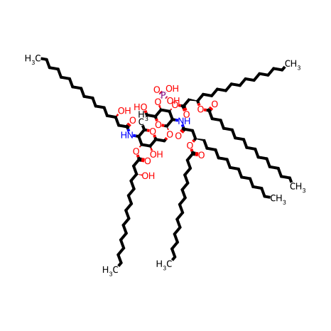 CCCCCCCCCCCCCCCC(=O)O[C@H](CCCCCCCCCCCCC)CC(=O)NC1[C@H](OCC2OC(C)C(NC(=O)C[C@H](O)CCCCCCCCCCCCC)[C@@H](OC(=O)C[C@H](O)CCCCCCCCCCCCC)[C@@H]2O)OC(CO)[C@@H](OP(=O)(O)O)[C@@H]1OC(=O)C[C@@H](CCCCCCCCCCCCC)OC(=O)CCCCCCCCCCCCCCC